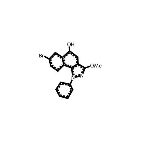 COc1nn(-c2ccccc2)c2c1cc(O)c1cc(Br)ccc12